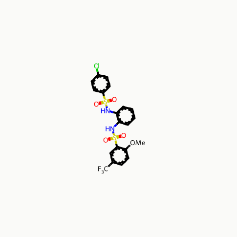 COc1ccc(C(F)(F)F)cc1S(=O)(=O)Nc1ccccc1NS(=O)(=O)c1ccc(Cl)cc1